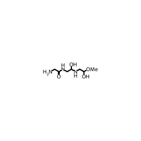 COC(O)CNC(O)CNC(=O)CN